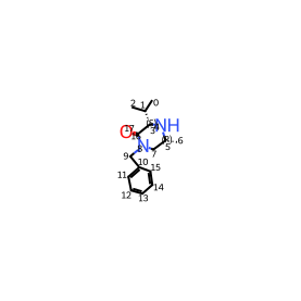 CC(C)[C@@H]1N[C@H](C)CN(Cc2ccccc2)C1=O